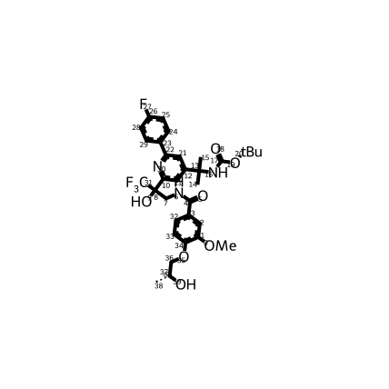 COc1cc(C(=O)NCC(O)(c2cc(C(C)(C)NC(=O)OC(C)(C)C)cc(-c3ccc(F)cc3)n2)C(F)(F)F)ccc1OC[C@@H](C)O